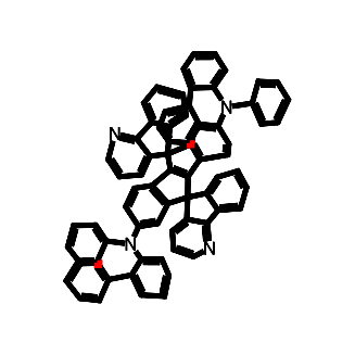 c1ccc(-c2ccccc2N(c2ccccc2)c2ccc3c(c2)C2(C4=C3C3(c5cc(N(c6ccccc6)c6ccccc6-c6ccccc6)ccc54)c4ccccc4-c4ncccc43)c3ccccc3-c3ncccc32)cc1